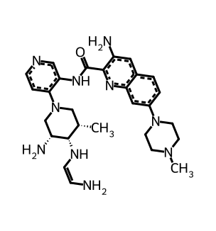 C[C@H]1CN(c2ccncc2NC(=O)c2nc3cc(N4CCN(C)CC4)ccc3cc2N)C[C@@H](N)[C@H]1N/C=C\N